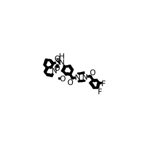 COc1cc(NS(=O)(=O)c2cccc3cccnc23)ccc1C(=O)N1CCN(C(=O)c2ccc(F)c(F)c2)CC1